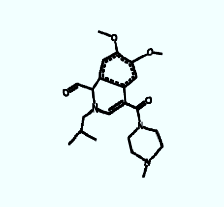 COc1cc2c(cc1OC)C(C=O)N(CC(C)C)C=C2C(=O)N1CCN(C)CC1